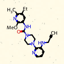 C#CCNc1cccnc1N1CCN(C(=O)Nc2cc(CC)c(C)nc2OC)CC1